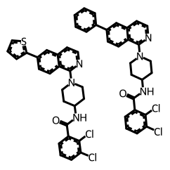 O=C(NC1CCN(c2nccc3cc(-c4ccccc4)ccc23)CC1)c1cccc(Cl)c1Cl.O=C(NC1CCN(c2nccc3cc(-c4cccs4)ccc23)CC1)c1cccc(Cl)c1Cl